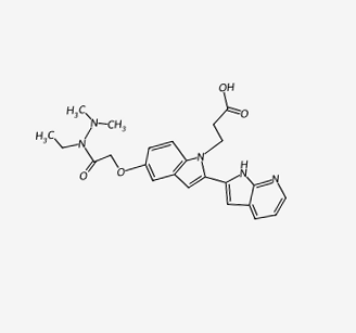 CCN(C(=O)COc1ccc2c(c1)cc(-c1cc3cccnc3[nH]1)n2CCC(=O)O)N(C)C